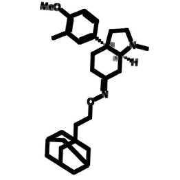 COc1ccc([C@@]23CCC(=NOCCC45CC6CC(CC(C6)C4)C5)C[C@@H]2N(C)CC3)cc1C